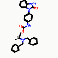 C[C@@H](COC(=O)Nc1ccc(-n2c(=O)[nH]c3ccccc32)cc1)N(Cc1ccccc1)Cc1ccccc1